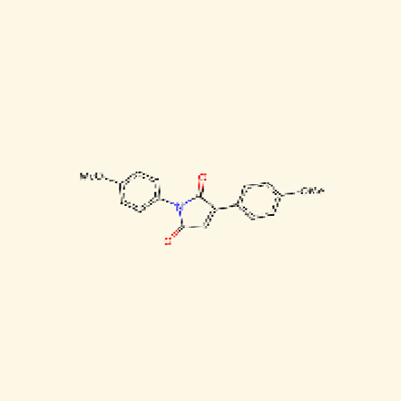 COc1ccc(C2=CC(=O)N(c3ccc(OC)cc3)C2=O)cc1